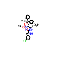 CC(C)(C)OC(=O)N[C@H](CO[Si](c1ccccc1)(c1ccccc1)C(C)(C)C)[C@@H](CC(=O)O)NC(=O)c1cc2cc(Cl)ccc2[nH]1